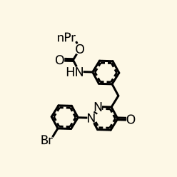 CCCOC(=O)Nc1cccc(Cc2nn(-c3cccc(Br)c3)ccc2=O)c1